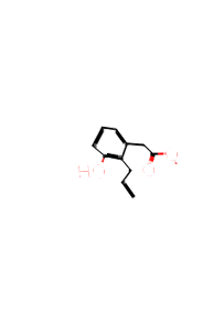 C=CCc1c(O)cccc1CC(=O)OC